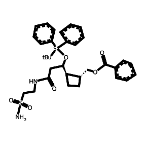 CC(C)(C)[Si](OC(CC(=O)NCCS(N)(=O)=O)[C@@H]1CC[C@H]1COC(=O)c1ccccc1)(c1ccccc1)c1ccccc1